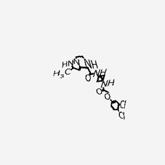 CC1CC2C(C(=O)NC34CC(NC(=O)COc5ccc(Cl)c(Cl)c5)(C3)C4)NCCN2N1